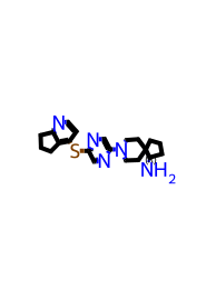 N[C@@H]1CCCC12CCN(c1cnc(Sc3ccnc4c3CCC4)cn1)CC2